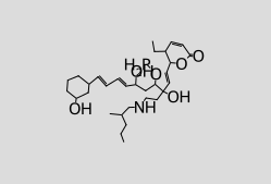 CCCC(C)CNCCC(O)(C=CC1OC(=O)C=CC1CC)C(CC(O)C=CC=CC1CCCC(O)C1)OP